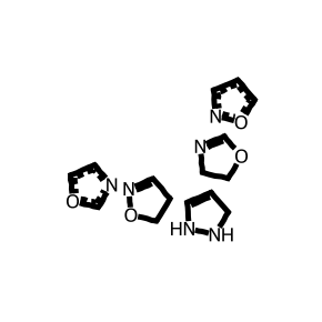 C1=CNNC1.C1=NCCO1.C1=NOCC1.c1cnoc1.c1cocn1